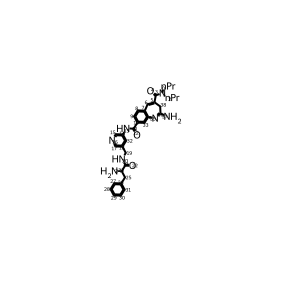 CCCN(CCC)C(=O)C1=Cc2ccc(C(=O)Nc3cncc(CNC(=O)[C@H](N)Cc4ccccc4)c3)cc2N=C(N)C1